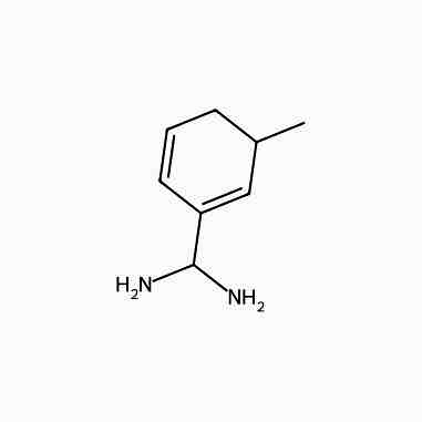 CC1C=C(C(N)N)C=CC1